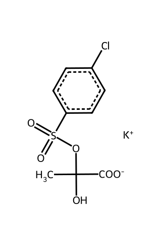 CC(O)(OS(=O)(=O)c1ccc(Cl)cc1)C(=O)[O-].[K+]